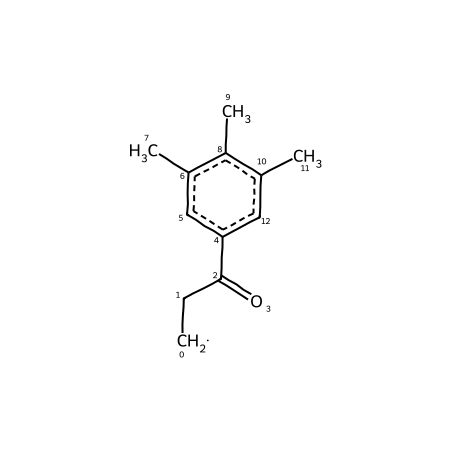 [CH2]CC(=O)c1cc(C)c(C)c(C)c1